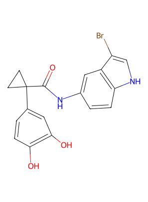 O=C(Nc1ccc2[nH]cc(Br)c2c1)C1(c2ccc(O)c(O)c2)CC1